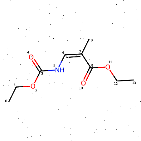 CCOC(=O)NC=C(C)C(=O)OCC